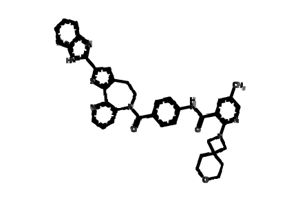 Cc1cnc(N2CC3(CCOCC3)C2)c(C(=O)Nc2ccc(C(=O)N3CCc4cc(-c5nc6ccccc6[nH]5)sc4-c4ncccc43)cc2)c1